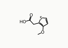 COc1ccsc1CC(=O)O